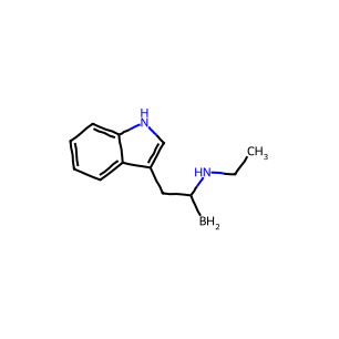 BC(Cc1c[nH]c2ccccc12)NCC